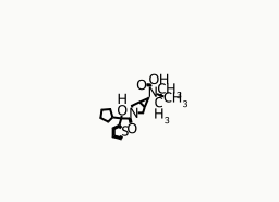 CC(C)(C)N(C(=O)O)C1C2CN(C(=O)C(O)(c3cccs3)C3CCCC3)CC21